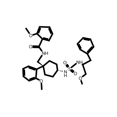 COCC(Cc1ccccc1)NS(=O)(=O)N[C@H]1CC[C@@](CNC(=O)c2ccccc2OC)(c2ccccc2OC)CC1